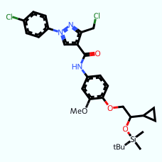 COc1cc(NC(=O)c2cn(-c3ccc(Cl)cc3)nc2CCl)ccc1OCC(O[Si](C)(C)C(C)(C)C)C1CC1